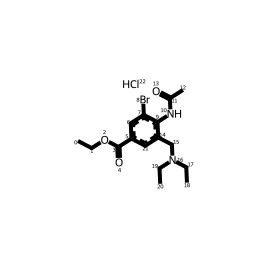 CCOC(=O)c1cc(Br)c(NC(C)=O)c(CN(CC)CC)c1.Cl